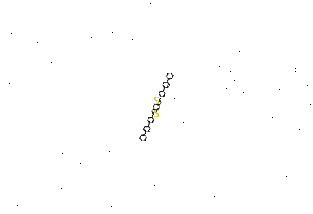 c1ccc(-c2ccc(-c3ccc(-c4cc5cc6sc(-c7ccc(-c8ccc(-c9ccccc9)cc8)cc7)cc6cc5s4)cc3)cc2)cc1